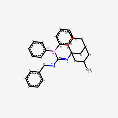 CC1CC2CC(C)CC(/N=C(/NCc3ccccc3)P(c3ccccc3)c3ccccc3)(C1)C2